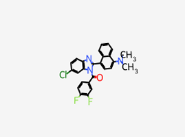 CN(C)c1ccc(-c2nc3ccc(Cl)cc3n2C(=O)c2ccc(F)c(F)c2)c2ccccc12